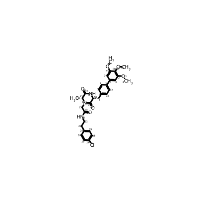 COc1cc(-c2ccc(C[C@H]3NC(=O)[C@@H](C)N(CC(=O)NCCc4ccc(Cl)cc4)C3=O)cc2)cc(OC)c1OC